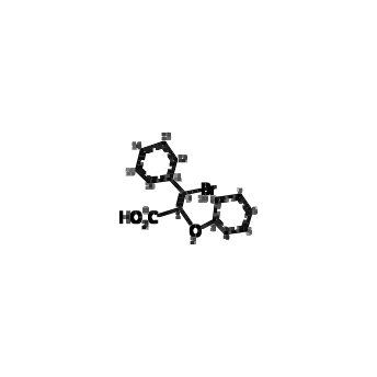 O=C(O)C(Oc1ccccc1)=C(Br)c1ccccc1